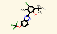 Cc1c(Cl)cc(C(C)(C)C)c(O)c1-c1nc2cc(OC(F)(F)F)ccc2[nH]1